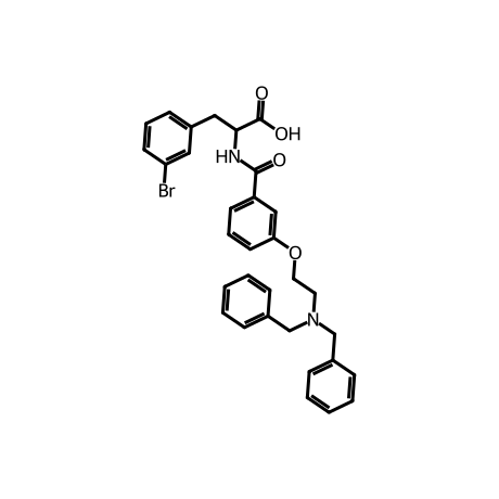 O=C(NC(Cc1cccc(Br)c1)C(=O)O)c1cccc(OCCN(Cc2ccccc2)Cc2ccccc2)c1